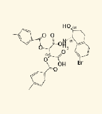 Cc1ccc(C(=O)OC(C(=O)O)[C@H](OC(=O)c2ccc(C)cc2)C(=O)O)cc1.N[C@H]1c2cc(Br)ccc2CC[C@@H]1O